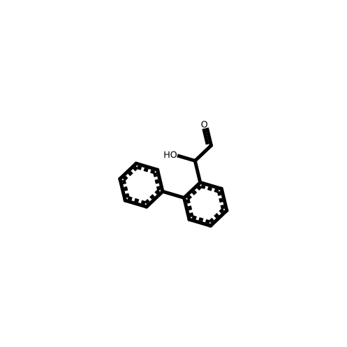 O=CC(O)c1ccccc1-c1ccccc1